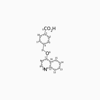 O=C(O)c1ccc(COc2ccnc3ccccc23)cc1